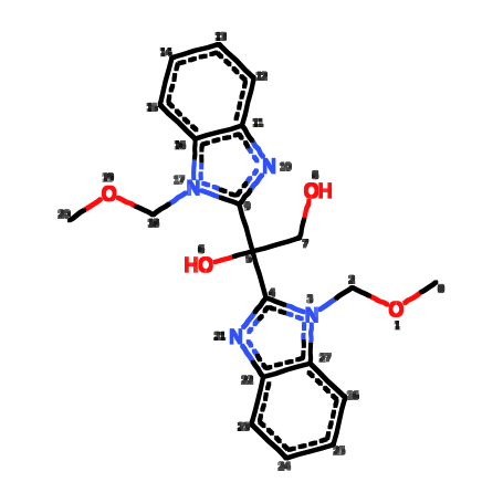 COCn1c(C(O)(CO)c2nc3ccccc3n2COC)nc2ccccc21